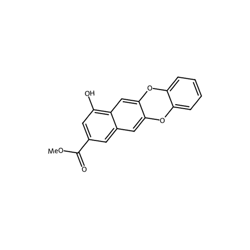 COC(=O)c1cc(O)c2cc3c(cc2c1)Oc1ccccc1O3